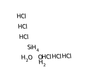 Cl.Cl.Cl.Cl.Cl.Cl.O.O.[SiH4]